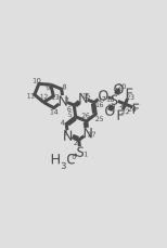 CSc1ncc2c(N3CC4CCC(C4)C3)nc(OS(=O)(=O)C(F)(F)F)cc2n1